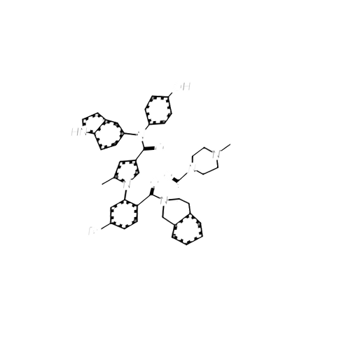 Cc1cc(C(=O)N(c2ccc(O)cc2)c2ccc3[nH]ccc3c2)cn1-c1cc(Br)ccc1C(=O)N1Cc2ccccc2C[C@H]1C(=O)N1CCN(C)CC1